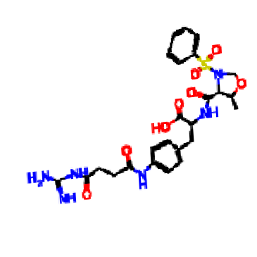 CC1OCN(S(=O)(=O)c2ccccc2)[C@@H]1C(=O)N[C@@H](Cc1ccc(NC(=O)CCC(=O)NC(=N)N)cc1)C(=O)O